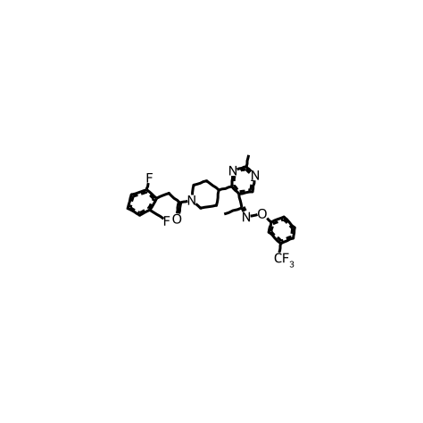 C/C(=N/Oc1cccc(C(F)(F)F)c1)c1cnc(C)nc1C1CCN(C(=O)Cc2c(F)cccc2F)CC1